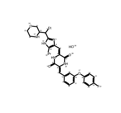 CCC(c1nc(/C=c2\[nH]c(=O)/c(=C/c3cccc(Oc4ccc(F)cc4)c3)[nH]c2=O)c(C(C)C)[nH]1)C1COCCN1.Cl